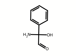 NC(O)(C=O)c1ccccc1